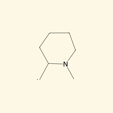 [CH2]C1CCCCN1C